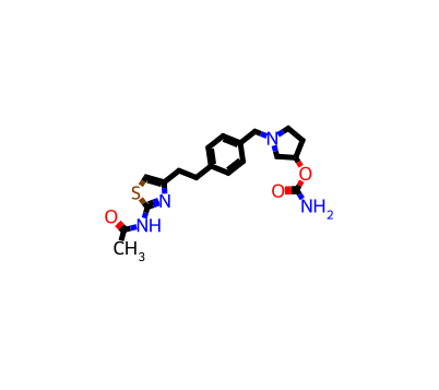 CC(=O)Nc1nc(CCc2ccc(CN3CCC(OC(N)=O)C3)cc2)cs1